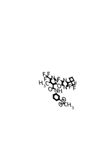 Cc1c(C(F)(F)F)nnc(Oc2ncc(C3(C(F)(F)F)CCC3)nc2F)c1C(=O)Nc1cccc(S(C)(=O)=O)c1